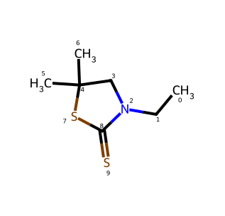 CCN1CC(C)(C)SC1=S